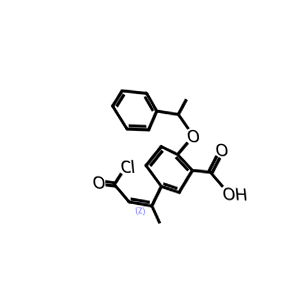 C/C(=C/C(=O)Cl)c1ccc(OC(C)c2ccccc2)c(C(=O)O)c1